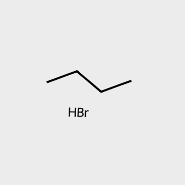 Br.CCCC